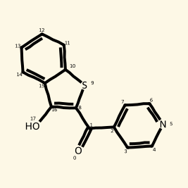 O=C(c1ccncc1)c1sc2ccccc2c1O